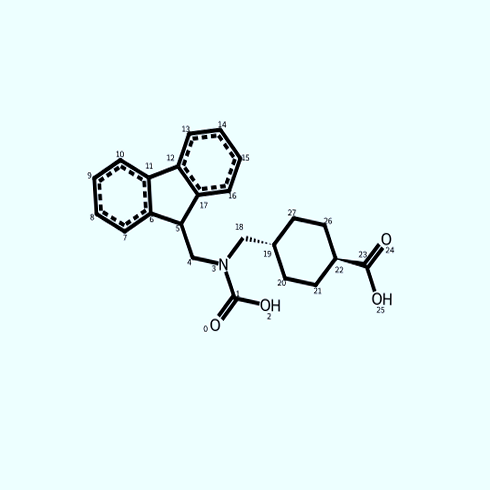 O=C(O)N(CC1c2ccccc2-c2ccccc21)C[C@H]1CC[C@H](C(=O)O)CC1